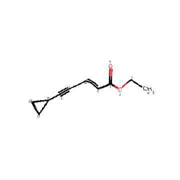 CCOC(=O)C=CC#CC1CC1